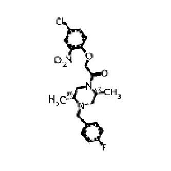 C[C@@H]1CN(C(=O)COc2ccc(Cl)cc2[N+](=O)[O-])[C@@H](C)CN1Cc1ccc(F)cc1